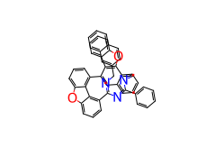 C=N/C(=N\C(=N/Cc1ccc2ccccc2c1)c1cccc2oc3cccc(-c4cc5ccccc5c5oc6ccccc6c45)c3c12)c1ccccc1